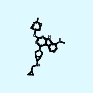 CNc1cccc2c1[nH]c1nc(Oc3cnc(C)nc3)nc(N3CC4C(C3)C4NCC3CC3)c12